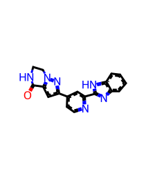 O=C1NCCn2nc(-c3ccnc(-c4nc5ccccc5[nH]4)c3)cc21